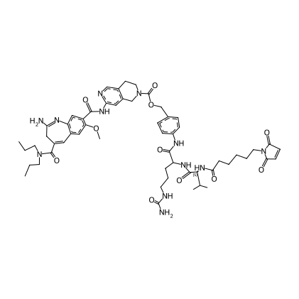 CCCN(CCC)C(=O)C1=Cc2cc(OC)c(C(=O)Nc3cc4c(cn3)CCN(C(=O)OCc3ccc(NC(=O)C(CCCNC(N)=O)NC(=O)[C@@H](NC(=O)CCCCCN5C(=O)C=CC5=O)C(C)C)cc3)C4)cc2N=C(N)C1